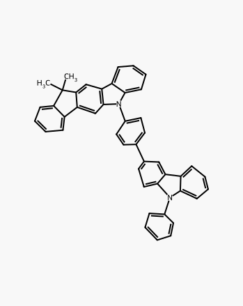 CC1(C)c2ccccc2-c2cc3c(cc21)c1ccccc1n3-c1ccc(-c2ccc3c(c2)c2ccccc2n3-c2ccccc2)cc1